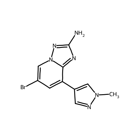 Cn1cc(-c2cc(Br)cn3nc(N)nc23)cn1